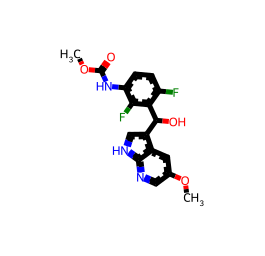 COC(=O)Nc1ccc(F)c(C(O)c2c[nH]c3ncc(OC)cc23)c1F